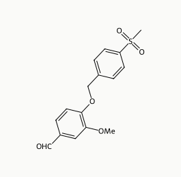 COc1cc(C=O)ccc1OCc1ccc(S(C)(=O)=O)cc1